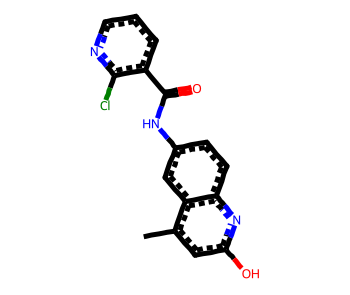 Cc1cc(O)nc2ccc(NC(=O)c3cccnc3Cl)cc12